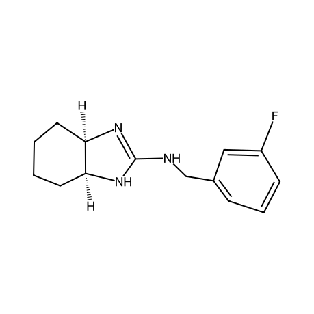 Fc1cccc(CNC2=N[C@@H]3CCCC[C@@H]3N2)c1